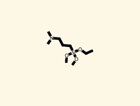 CCO[Si](CCCN(C)C)(OC)OC